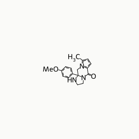 COc1ccc(C23Cn4c(C)ccc4C(=O)N2CCN3)cc1